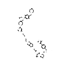 Cc1ncsc1-c1ccc([C@H](C)NC(=O)[C@@H]2C[C@@H](O)CN2C(=O)[C@@H](NC(=O)CO[C@@H]2C[C@@H]3CN(CCOCCNc4cc(N5CCC6(CC5)CN(c5cc(F)c(CN7CCC(C)(C)CC7)cc5F)CC(=O)N6)ncn4)C[C@@H]3C2)C(C)(C)C)cc1